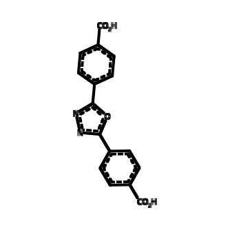 O=C(O)c1ccc(-c2nnc(-c3ccc(C(=O)O)cc3)o2)cc1